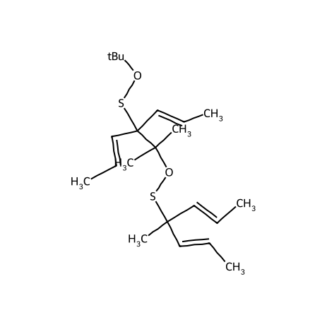 CC=CC(C)(C=CC)SOC(C)(C)C(C=CC)(C=CC)SOC(C)(C)C